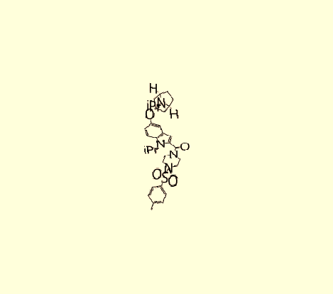 Cc1ccc(S(=O)(=O)N2CCN(C(=O)c3cc4cc(O[C@@H]5C[C@H]6CC[C@@H](C5)N6C(C)C)ccc4n3C(C)C)CC2)cc1